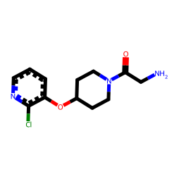 NCC(=O)N1CCC(Oc2cccnc2Cl)CC1